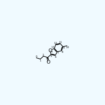 CCCC(=O)c1cc2cc(C)ccc2o1